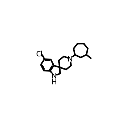 CC1CCCCC(N2CCC3(CC2)CNc2ccc(Cl)cc23)C1